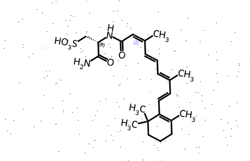 CC(C=CC1=C(C)CCCC1(C)C)=CC=C/C(C)=C\C(=O)N[C@@H](CS(=O)(=O)O)C(N)=O